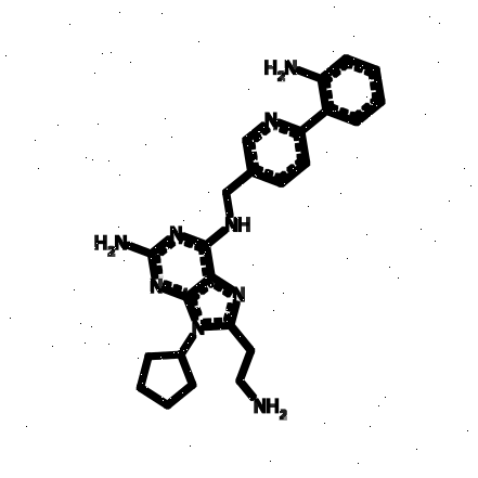 NCCc1nc2c(NCc3ccc(-c4ccccc4N)nc3)nc(N)nc2n1C1CCCC1